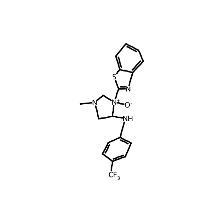 CN1CC(Nc2ccc(C(F)(F)F)cc2)[N+]([O-])(c2nc3ccccc3s2)C1